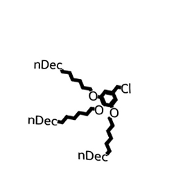 CCCCCCCCCCCCCCCCOc1cc(CCl)cc(OCCCCCCCCCCCCCCCC)c1OCCCCCCCCCCCCCCCC